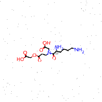 NCCCC[C@H](N)C(=O)N(CCC(=O)OCC(=O)O)CC(=O)O